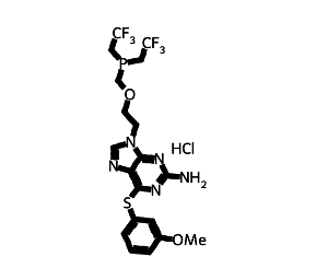 COc1cccc(Sc2nc(N)nc3c2ncn3CCOCP(CC(F)(F)F)CC(F)(F)F)c1.Cl